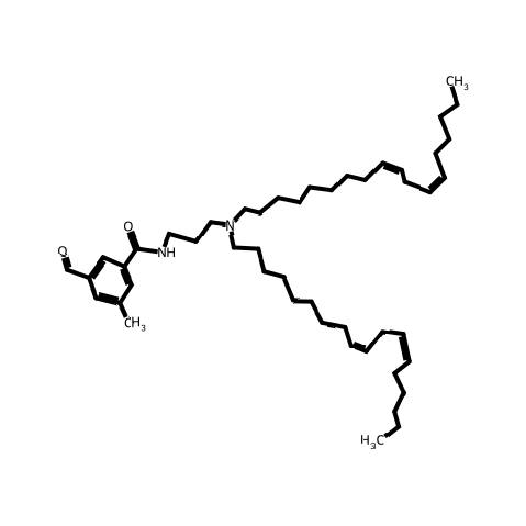 CCCCC/C=C\C/C=C\CCCCCCCCN(CCCCCCCC/C=C\C/C=C\CCCCC)CCCNC(=O)c1cc(C)cc(C=O)c1